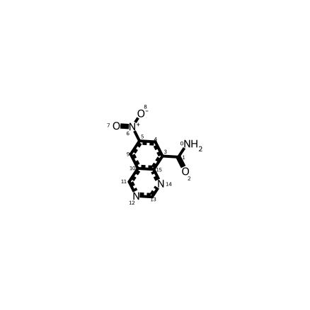 NC(=O)c1cc([N+](=O)[O-])cc2cncnc12